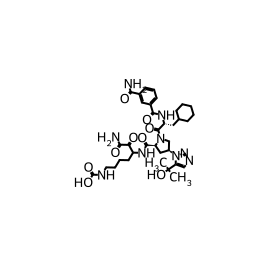 CC(C)(O)c1cnnn1[C@H]1C[C@@H](C(=O)NC(CCCCNC(=O)O)C(=O)C(N)=O)N(C(=O)[C@@H](CC2CCCCC2)NC(=O)c2cccc(C(N)=O)c2)C1